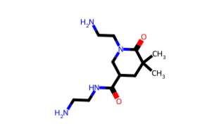 CC1(C)CC(C(=O)NCCN)CN(CCN)C1=O